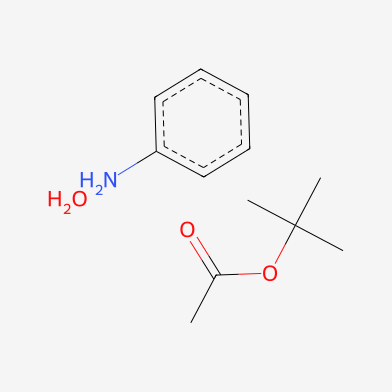 CC(=O)OC(C)(C)C.Nc1ccccc1.O